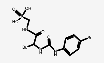 CCC(C)C(NC(=O)Nc1ccc(Br)cc1)C(=O)NCP(=O)(O)O